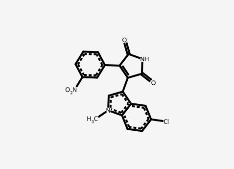 Cn1cc(C2=C(c3cccc([N+](=O)[O-])c3)C(=O)NC2=O)c2cc(Cl)ccc21